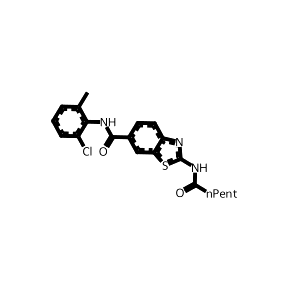 CCCCCC(=O)Nc1nc2ccc(C(=O)Nc3c(C)cccc3Cl)cc2s1